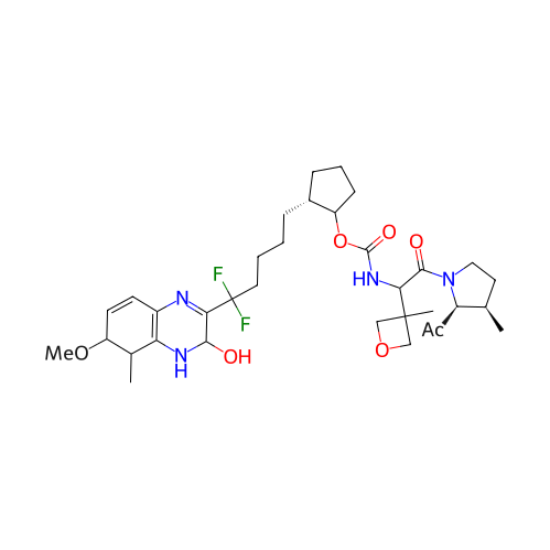 COC1C=CC2=C(NC(O)C(C(F)(F)CCCC[C@@H]3CCCC3OC(=O)NC(C(=O)N3CC[C@@H](C)[C@H]3C(C)=O)C3(C)COC3)=N2)C1C